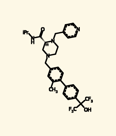 Cc1cc(CN2CCN(Cc3ccncc3)[C@@H](C(=O)NC(C)C)C2)ccc1-c1ccc(C(O)(C(F)(F)F)C(F)(F)F)cc1